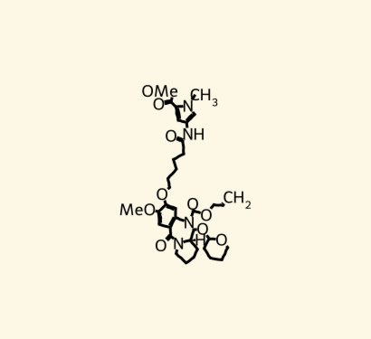 C=CCOC(=O)N1c2cc(OCCCCCC(=O)Nc3cc(C(=O)OC)n(C)c3)c(OC)cc2C(=O)N2CCCC[C@H]2C1OC1CCCCO1